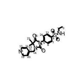 CCNS(=O)(=O)c1ccc(N2C(=O)N(Cc3ccncc3)C(C)(C)C2=O)cc1